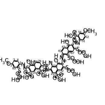 COc1ccc(N=Nc2c(S(=O)(=O)O)cc3c(S(=O)(=O)O)c(N=Nc4cc(S(=O)(=O)O)c5cc(SOOO)c(N=Nc6ccc7c(O)c(N=Nc8ccc(OC)cc8S(=O)(=O)O)c(SOOO)cc7c6SOOO)c(O)c5c4N)ccc3c2O)c(SOOO)c1